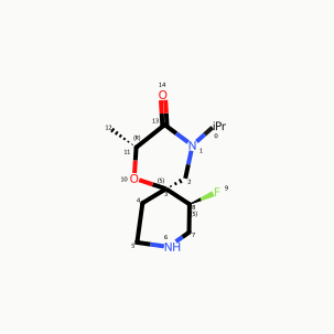 CC(C)N1C[C@]2(CCNC[C@@H]2F)O[C@H](C)C1=O